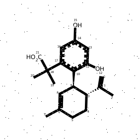 C=C(C)[C@@H]1CCC(C)=C[C@H]1c1c(O)cc(O)cc1C(C)(C)C(=O)O